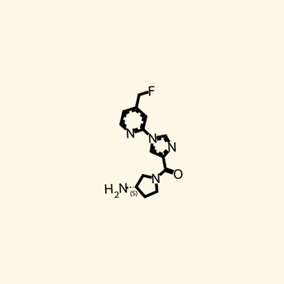 N[C@H]1CCN(C(=O)c2cn(-c3cc(CF)ccn3)cn2)C1